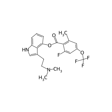 Cc1cc(OC(F)(F)F)cc(F)c1C(=O)Oc1cccc2[nH]cc(CCN(C)C)c12